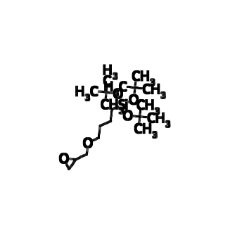 CC(C)(C)O[Si](CCCCOCC1CO1)(OC(C)(C)C)OC(C)(C)C